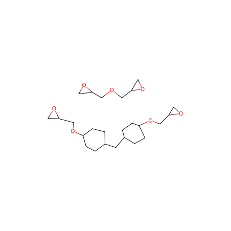 C(OCC1CO1)C1CO1.C1CC(OCC2CO2)CCC1CC1CCC(OCC2CO2)CC1